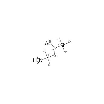 CC(=O)C(CC(C)(C)N)[Si](C)(C)C